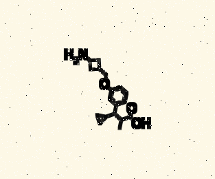 CC(C(=O)O)C(c1cccc(OCC2CC(N)C2)c1)C1CC1